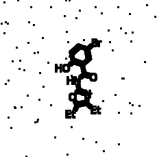 CCc1nc(NC(=O)c2cc(Br)ccc2O)oc1CC